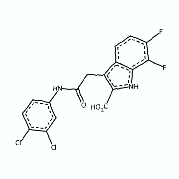 O=C(Cc1c(C(=O)O)[nH]c2c(F)c(F)ccc12)Nc1ccc(Cl)c(Cl)c1